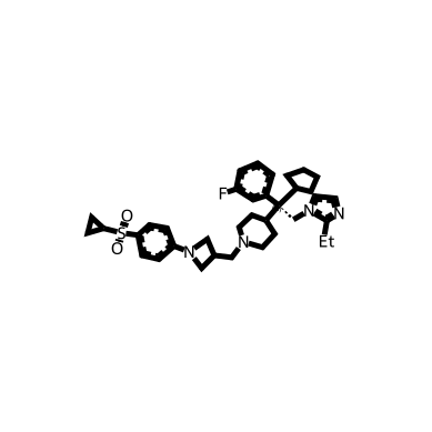 CCc1nccn1C[C@](c1cccc(F)c1)(C1CCCC1)C1CCN(CC2CN(c3ccc(S(=O)(=O)C4CC4)cc3)C2)CC1